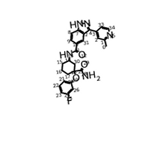 Cc1cc(-c2n[nH]c3ccc(C(=O)NC4CCCC(Oc5cccc(F)c5)(C(N)=O)C4)cc23)ccn1